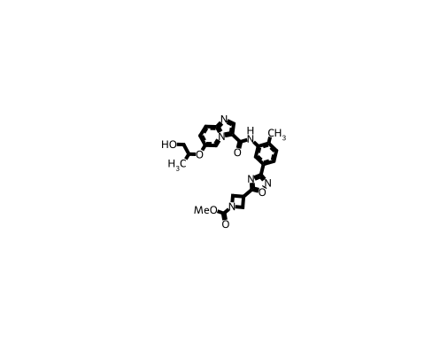 COC(=O)N1CC(c2nc(-c3ccc(C)c(NC(=O)c4cnc5ccc(OC(C)CO)cn45)c3)no2)C1